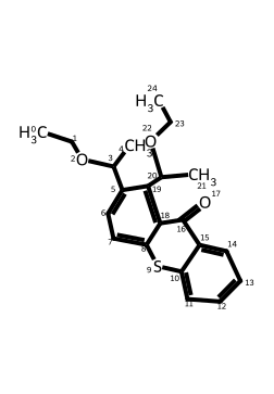 CCOC(C)c1ccc2sc3ccccc3c(=O)c2c1C(C)OCC